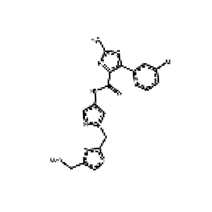 COCc1coc(Cn2ncc(NC(=O)c3nc(C)oc3-c3cccc(Cl)c3)n2)n1